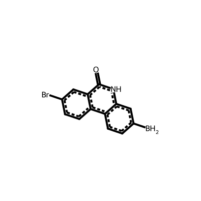 Bc1ccc2c(c1)[nH]c(=O)c1cc(Br)ccc12